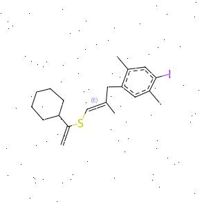 C=C(S/C=C(\C)Cc1cc(C)c(I)cc1C)C1CCCCC1